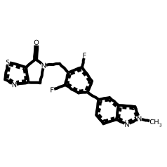 Cn1cc2cc(-c3cc(F)c(CN4Cc5ncsc5C4=O)c(F)c3)ccc2n1